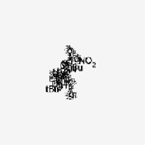 CCC(C)[C@H](NC(=O)[C@H](Cc1ccccc1)NC(=O)[C@H](Cc1ccc(CCc2ccccc2)cc1)NC(=O)[C@H](CC)NC(=O)OC(C)(C)C)C(=O)O/C=C(/c1ccc(C)cc1)c1ccc([N+](=O)[O-])cc1